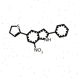 O=[N+]([O-])c1cc(C2=CCCS2)cc2cc(-c3ccccc3)[nH]c12